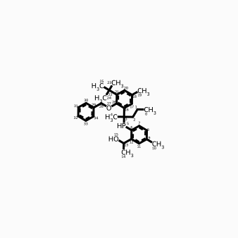 CCCC(C)(Pc1ccc(C)cc1C(C)O)c1cc(C)cc(C(C)(C)C)c1OCc1ccccc1